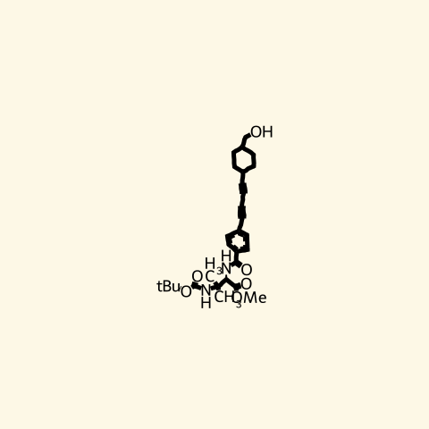 COC(=O)[C@@H](NC(=O)c1ccc(C#CC#CC2CCC(CO)CC2)cc1)C(C)(C)NC(=O)OC(C)(C)C